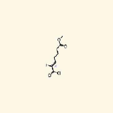 COC(=O)CCC/C=C(\F)C(=O)Cl